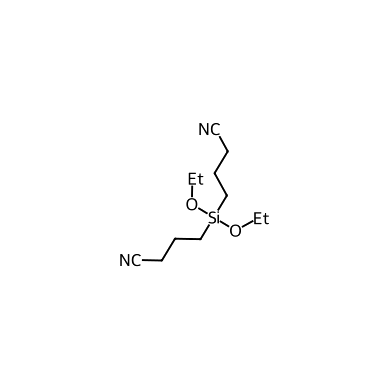 CCO[Si](CCCC#N)(CCCC#N)OCC